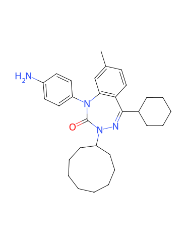 Cc1ccc2c(c1)N(c1ccc(N)cc1)C(=O)N(C1CCCCCCCC1)N=C2C1CCCCC1